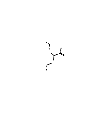 CCOC(OCC)C(C)=O